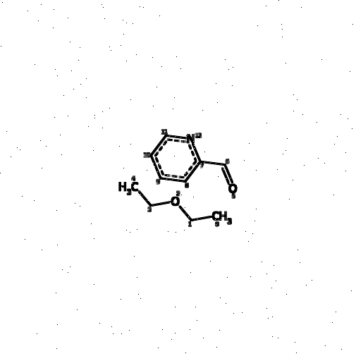 CCOCC.O=Cc1ccccn1